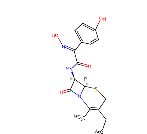 CC(=O)OCC1=C(C(=O)O)N2C(=O)[C@@H](NC(=O)C(=NO)c3ccc(O)cc3)[C@H]2SC1